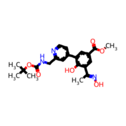 COC(=O)c1cc(C(C)=NO)c(O)c(-c2ccnc(CNC(=O)OC(C)(C)C)c2)c1